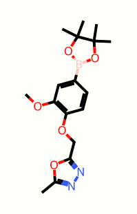 COc1cc(B2OC(C)(C)C(C)(C)O2)ccc1OCc1nnc(C)o1